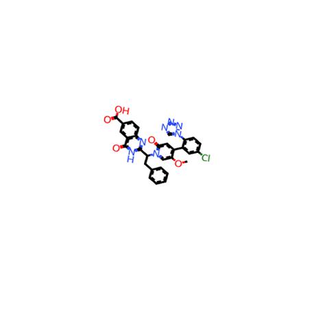 COc1cn(C(Cc2ccccc2)c2nc3ccc(C(=O)O)cc3c(=O)[nH]2)c(=O)cc1-c1cc(Cl)ccc1-n1cnnn1